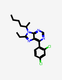 CCCCC(C)n1c(CC)nc2c(-c3ccc(Cl)cc3Cl)ncnc21